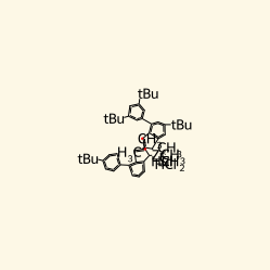 CC1=Cc2c(-c3ccc(C(C)(C)C)cc3)cccc2[CH]1[Zr]([CH3])([CH3])(=[SiH2])[CH]1C(C)=Cc2c(-c3cc(C(C)(C)C)cc(C(C)(C)C)c3)cc(C(C)(C)C)cc21.Cl.Cl